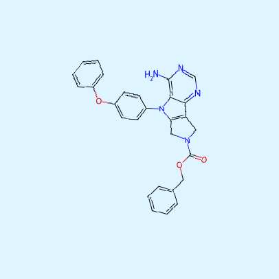 Nc1ncnc2c3c(n(-c4ccc(Oc5ccccc5)cc4)c12)CN(C(=O)OCc1ccccc1)C3